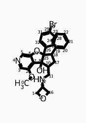 COc1cncc2c1C1(O)C(CNC3COC3)CC(c3ccccc3)C1(c1ccc(Br)cc1)O2